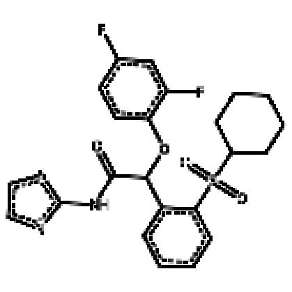 O=C(Nc1nccs1)C(Oc1ccc(F)cc1F)c1ccccc1S(=O)(=O)C1CCCCC1